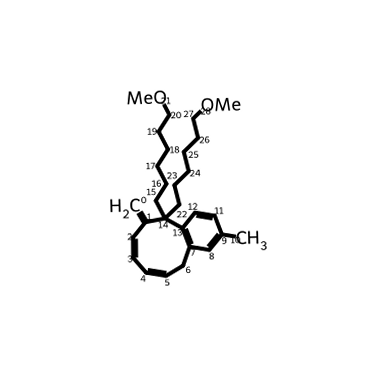 C=C1/C=C\C=C/Cc2cc(C)ccc2C1(CCCCCCOC)CCCCCCOC